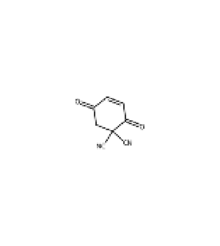 N#CC1(C#N)CC(=O)C=CC1=O